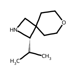 CC(C)[C@@H]1NCC12CCOCC2